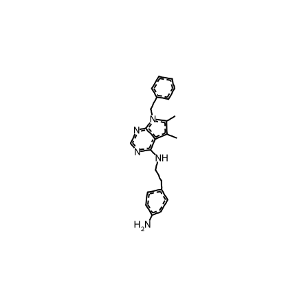 Cc1c(C)n(Cc2ccccc2)c2ncnc(NCCc3ccc(N)cc3)c12